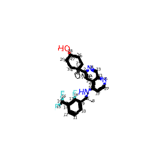 COC1(c2cc3c(N[C@H](C)c4cccc(C(F)F)c4F)ccnc3cn2)CCC(O)CC1